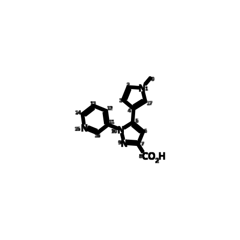 Cn1ccc(-c2cc(C(=O)O)nn2-c2cccnc2)c1